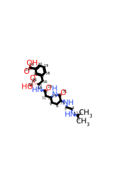 CC(C)NCCNC1CCC(CC(=O)N[C@H]2Cc3cccc(C(=O)O)c3OB2O)NC1=O